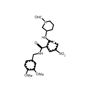 COc1ccc(CNC(=O)c2cc([N+](=O)[O-])ccc2NC2CCCN(C=O)C2)cc1OC